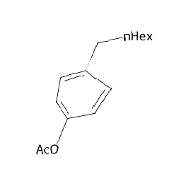 CCCCCCCc1ccc(OC(C)=O)cc1